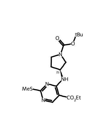 CCOC(=O)c1cnc(SC)nc1N[C@H]1CCN(C(=O)OC(C)(C)C)C1